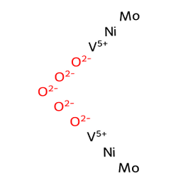 [Mo].[Mo].[Ni].[Ni].[O-2].[O-2].[O-2].[O-2].[O-2].[V+5].[V+5]